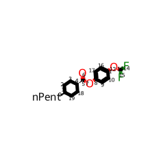 CCCCC[C@H]1CC[C@H](C(=O)Oc2ccc(OC(F)F)cc2)CC1